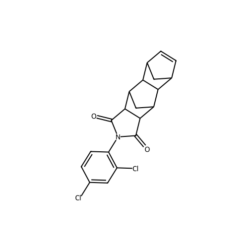 O=C1C2C3CC(C2C(=O)N1c1ccc(Cl)cc1Cl)C1C2C=CC(C2)C31